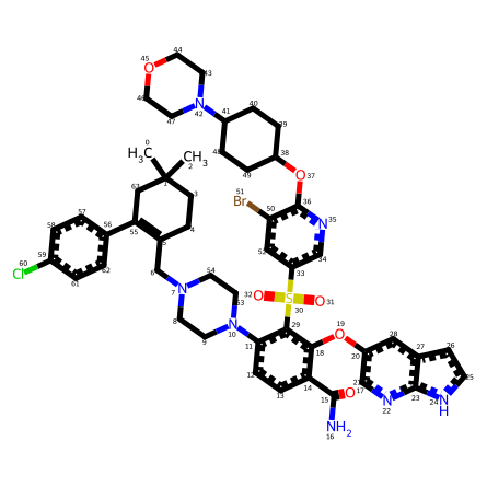 CC1(C)CCC(CN2CCN(c3ccc(C(N)=O)c(Oc4cnc5[nH]ccc5c4)c3S(=O)(=O)c3cnc(OC4CCC(N5CCOCC5)CC4)c(Br)c3)CC2)=C(c2ccc(Cl)cc2)C1